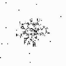 CC(C)C[C@@H](C(=O)N1C[C@]2(C[C@H]1C#N)C(=O)Nc1ccccc12)N(C)C(=O)[C@H](C)NC(=O)C(C)(C)C(F)(F)F